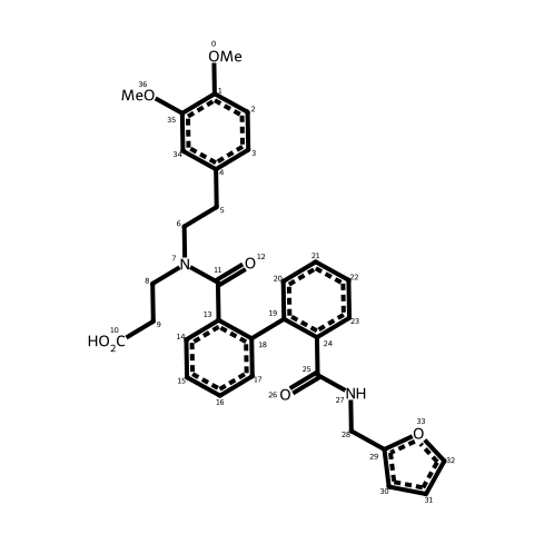 COc1ccc(CCN(CCC(=O)O)C(=O)c2ccccc2-c2ccccc2C(=O)NCc2ccco2)cc1OC